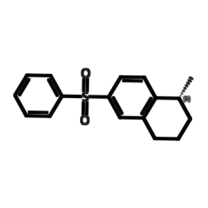 C[C@@H]1CCCc2cc(S(=O)(=O)c3ccccc3)ccc21